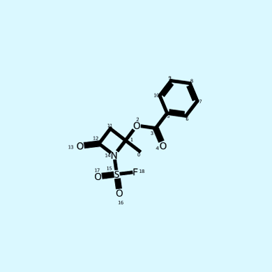 CC1(OC(=O)c2ccccc2)CC(=O)N1S(=O)(=O)F